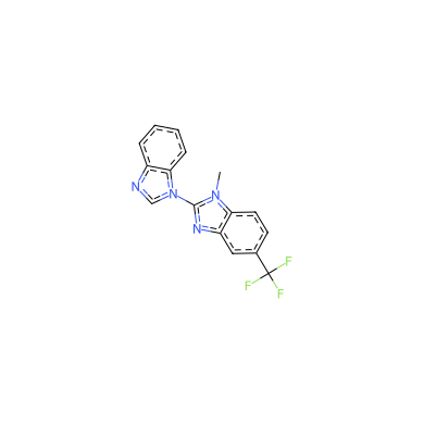 Cn1c(-n2cnc3ccccc32)nc2cc(C(F)(F)F)ccc21